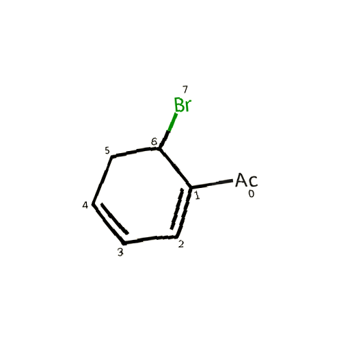 CC(=O)C1=CC=CCC1Br